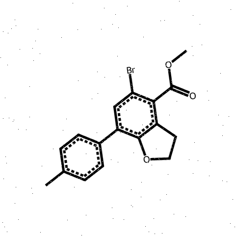 COC(=O)c1c(Br)cc(-c2ccc(C)cc2)c2c1CCO2